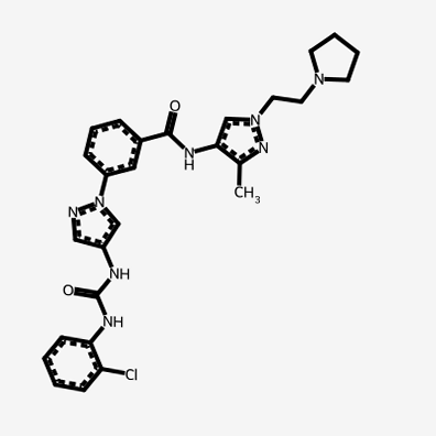 Cc1nn(CCN2CCCC2)cc1NC(=O)c1cccc(-n2cc(NC(=O)Nc3ccccc3Cl)cn2)c1